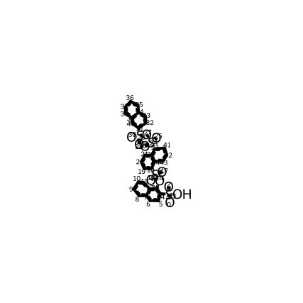 O=S(=O)(O)c1ccc2ccccc2c1OS(=O)(=O)c1cccc2c(S(=O)(=O)OS(=O)(=O)c3ccc4ccccc4c3)cccc12